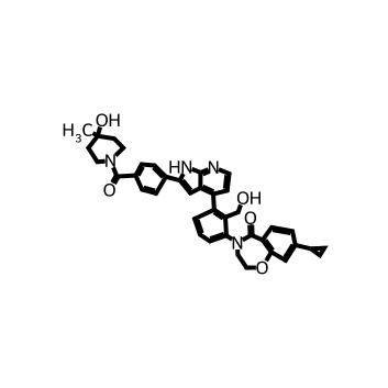 CC1(O)CCN(C(=O)c2ccc(-c3cc4c(-c5cccc(N6CCOc7cc(C8CC8)ccc7C6=O)c5CO)ccnc4[nH]3)cc2)CC1